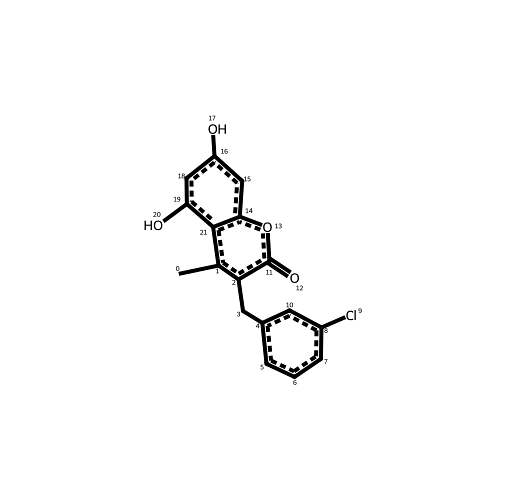 Cc1c(Cc2cccc(Cl)c2)c(=O)oc2cc(O)cc(O)c12